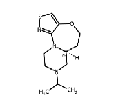 CC(C)N1CCN2c3nscc3OCC[C@H]2C1